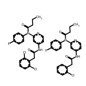 CCCC(=O)N(c1ccc(F)cc1)c1cc(NC(=O)Cc2c(Cl)cccc2Cl)ccn1.CCCC(=O)N(c1ccc(F)cc1)c1cc(NC(=O)Cc2ccccc2Cl)ccn1